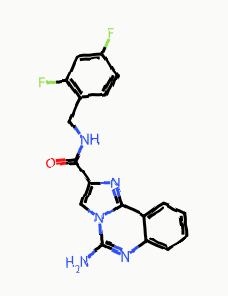 Nc1nc2ccccc2c2nc(C(=O)NCc3ccc(F)cc3F)cn12